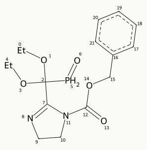 CCOC(OCC)([PH2]=O)C1=NCCN1C(=O)OCc1ccccc1